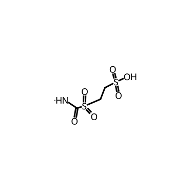 [NH]C(=O)S(=O)(=O)CCS(=O)(=O)O